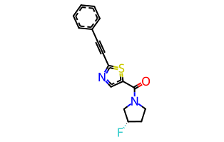 O=C(c1cnc(C#Cc2ccccc2)s1)N1CC[C@H](F)C1